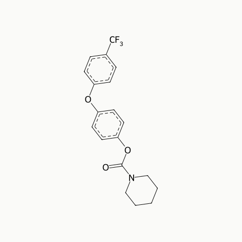 O=C(Oc1ccc(Oc2ccc(C(F)(F)F)cc2)cc1)N1CCCCC1